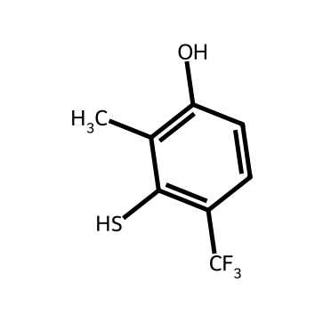 Cc1c(O)ccc(C(F)(F)F)c1S